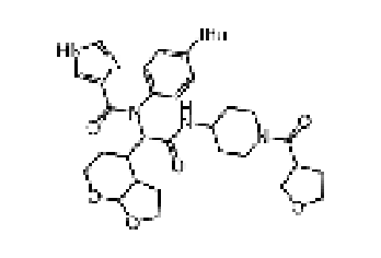 CC(C)(C)c1ccc(N(C(=O)c2c[nH]cn2)C(C(=O)NC2CCN(C(=O)C3CCOC3)CC2)C2CCOC3OCCC32)cc1